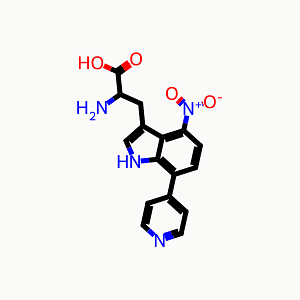 NC(Cc1c[nH]c2c(-c3ccncc3)ccc([N+](=O)[O-])c12)C(=O)O